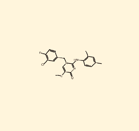 COc1cn(Cc2ccc(F)c(Cl)c2)c(Nc2ccc(C)cc2C)nc1=O